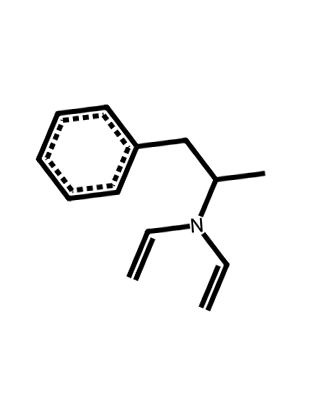 C=CN(C=C)C(C)Cc1ccccc1